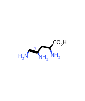 N/C=C(\N)CC(N)C(=O)O